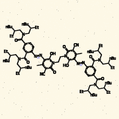 CCCCC(CC)CN(CC(CC)CCCC)C(=O)c1ccc(/N=N/c2c(C)c(C#N)c(=O)n(CCn3c(O)c(/N=N/c4ccc(C(=O)N(CC(CC)CCCC)CC(CC)CCCC)cc4C(=O)N(CC(CC)CCCC)CC(CC)CCCC)c(C)c(C#N)c3=O)c2O)c(C(=O)N(CC(CC)CCCC)CC(CC)CCCC)c1